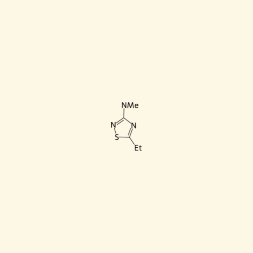 CCc1nc(NC)ns1